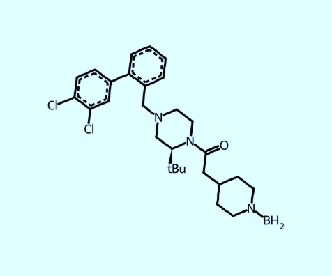 BN1CCC(CC(=O)N2CCN(Cc3ccccc3-c3ccc(Cl)c(Cl)c3)C[C@@H]2C(C)(C)C)CC1